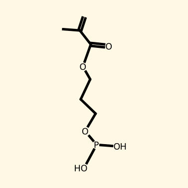 C=C(C)C(=O)OCCCOP(O)O